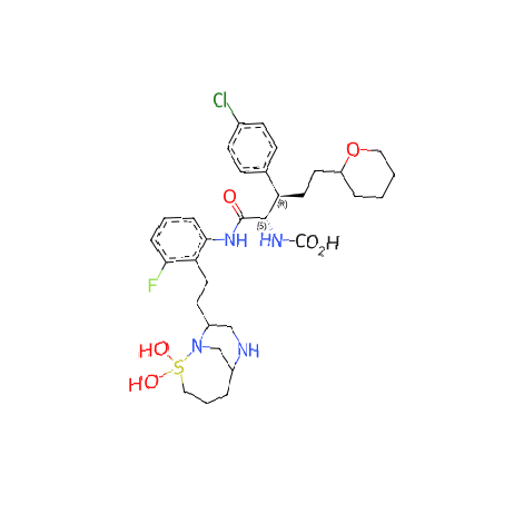 O=C(O)N[C@H](C(=O)Nc1cccc(F)c1CCC1CNC2CCCS(O)(O)N1C2)[C@H](CCC1CCCCO1)c1ccc(Cl)cc1